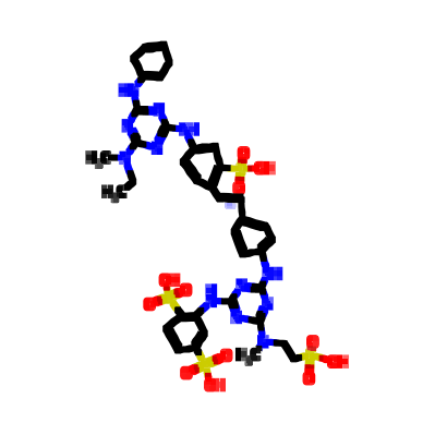 CCN(C)c1nc(NC2=CCC=CC2)nc(Nc2ccc(/C=C/c3ccc(Nc4nc(Nc5cc(S(=O)(=O)O)ccc5S(=O)(=O)O)nc(N(C)CCS(=O)(=O)O)n4)cc3)c(S(=O)(=O)O)c2)n1